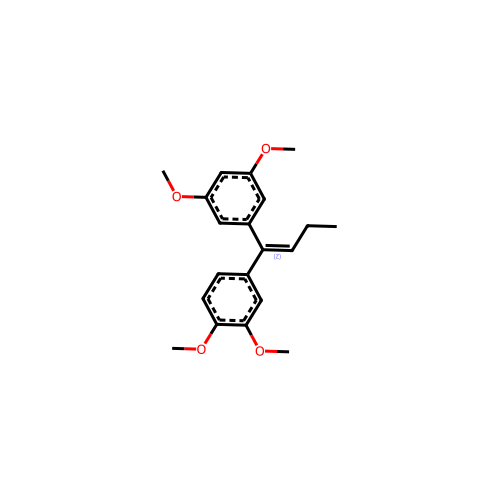 CC/C=C(\c1cc(OC)cc(OC)c1)c1ccc(OC)c(OC)c1